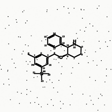 Cc1cc(CO[C@@H]2CCCN[C@@H]2c2ccccc2)cc([Si](C)(C)C)c1